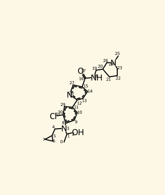 CC(O)N(CC1CC1)c1ccc(-c2ccc(C(=O)NCC3CCCN(C)C3)cn2)cc1Cl